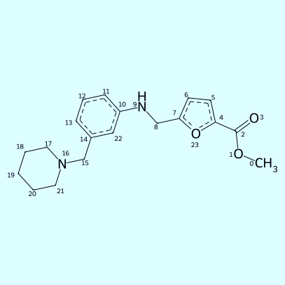 COC(=O)c1ccc(CNc2cccc(CN3CCCCC3)c2)o1